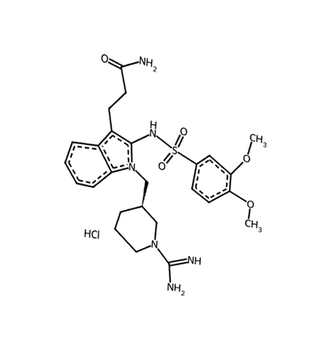 COc1ccc(S(=O)(=O)Nc2c(CCC(N)=O)c3ccccc3n2C[C@@H]2CCCN(C(=N)N)C2)cc1OC.Cl